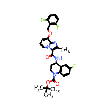 Cc1nc2c(OCc3c(F)cccc3F)cccn2c1C(=O)NC1CCN(C(=O)OC(C)(C)C)c2ccc(F)cc21